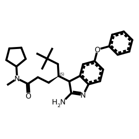 CN(C(=O)CC[C@@H](CC(C)(C)C)C1C(N)=Nc2ccc(Oc3ccccc3)cc21)C1CCCC1